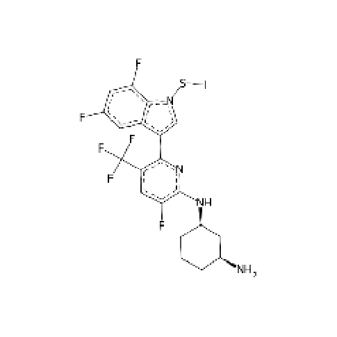 N[C@H]1CCC[C@@H](Nc2nc(-c3cn(SI)c4c(F)cc(F)cc34)c(C(F)(F)F)cc2F)C1